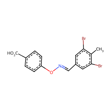 Cc1c(Br)cc(/C=N/Oc2ccc(C(=O)O)cc2)cc1Br